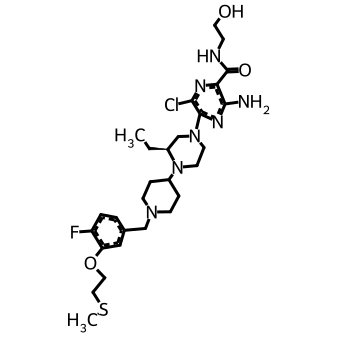 CC[C@H]1CN(c2nc(N)c(C(=O)NCCO)nc2Cl)CCN1C1CCN(Cc2ccc(F)c(OCCSC)c2)CC1